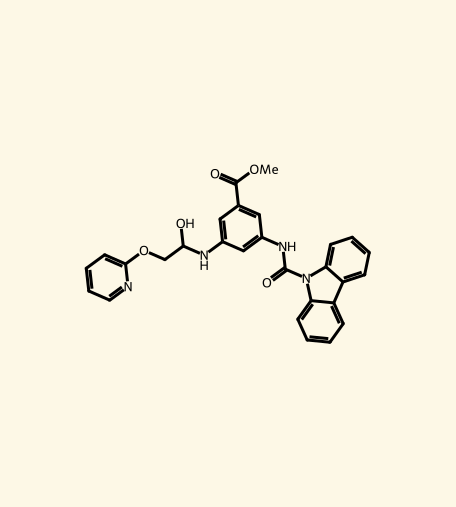 COC(=O)c1cc(NC(=O)n2c3ccccc3c3ccccc32)cc(NC(O)COc2ccccn2)c1